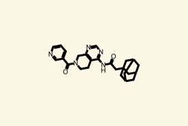 O=C(CC12CC3CC(CC(C3)C1)C2)Nc1ncnc2c1CCN(C(=O)c1cccnc1)C2